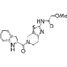 COCC(=O)Nc1nc2c(s1)CN(C(=O)c1cc3ccccc3[nH]1)CC2